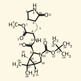 COC(=O)[C@H](C[C@@H]1CCNC1=O)NC(=O)[C@@H]1[C@H]2[C@H](CN1C(=O)OC(C)(C)C)C2(C)C